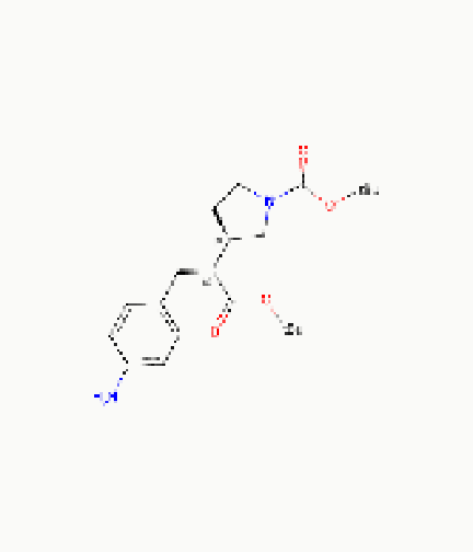 CC(C)(C)OC(=O)[C@@H](Cc1ccc(N)cc1)[C@H]1CCN(C(=O)OC(C)(C)C)C1